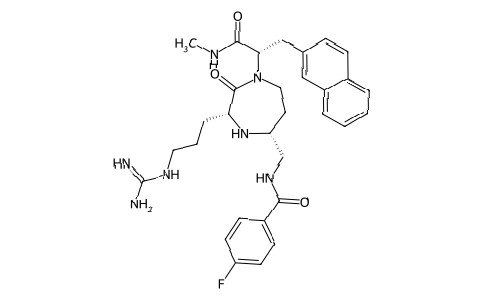 CNC(=O)[C@H](Cc1ccc2ccccc2c1)N1CC[C@H](CNC(=O)c2ccc(F)cc2)N[C@H](CCCNC(=N)N)C1=O